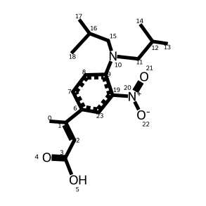 CC(=CC(=O)O)c1ccc(N(CC(C)C)CC(C)C)c([N+](=O)[O-])c1